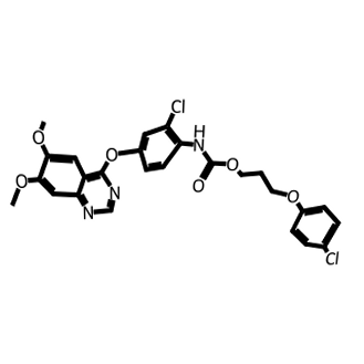 COc1cc2ncnc(Oc3ccc(NC(=O)OCCCOc4ccc(Cl)cc4)c(Cl)c3)c2cc1OC